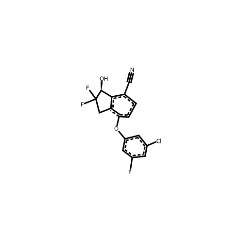 N#Cc1ccc(Oc2cc(F)cc(Cl)c2)c2c1[C@H](O)C(F)(F)C2